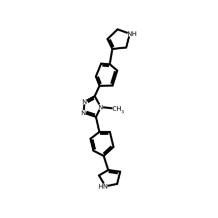 Cn1c(-c2ccc(C3=CCNC3)cc2)nnc1-c1ccc(C2=CCNC2)cc1